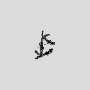 CCCCCCCCC(CCCCCCCCC(=O)NCCNC(=O)CCCCCCCCC(CCCCCCCC)C(CCCCCCCC)CCCCCCCCC(=O)OCCOc1ccccc1)C(CCCCCCCC)CCCCCCCCC(=O)OCCOc1ccccc1